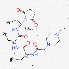 CC(C)C[C@H](NC(=O)CN1CCN(C)CC1)C(=O)N[C@@H](CC(C)C)C(=O)N[C@](CC(C)C)(C(=O)O)N1C(=O)CCC1=O